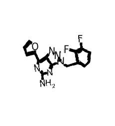 Nc1nc(-c2ccco2)c2nnn(Cc3cccc(F)c3F)c2n1